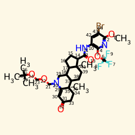 COc1nc(OC(F)(F)F)c(NC(=O)C2CCC3C4CN(COCOC(C)(C)C)C5=CC(=O)CC[C@]5(C)C4CC[C@]23C)cc1Br